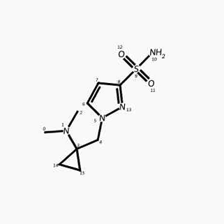 CN(C)C1(Cn2ccc(S(N)(=O)=O)n2)CC1